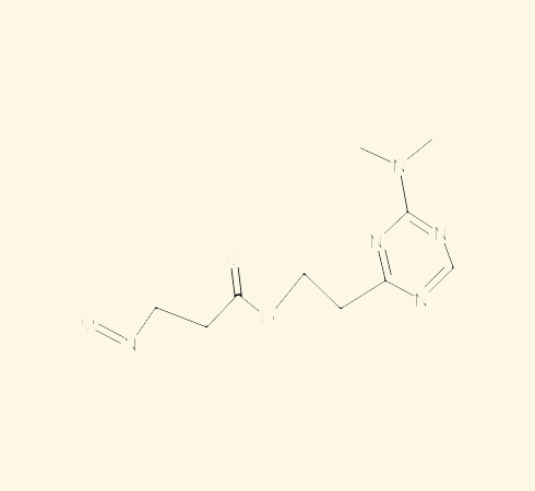 CN(C)c1ncnc(CCOC(=O)CCN=O)n1